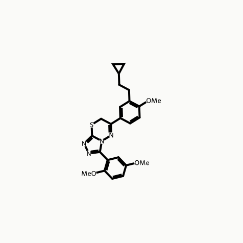 COc1ccc(OC)c(-c2nnc3n2N=C(c2ccc(OC)c(CCC4CC4)c2)CS3)c1